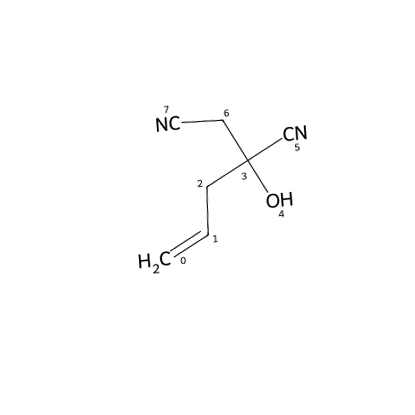 C=CCC(O)(C#N)CC#N